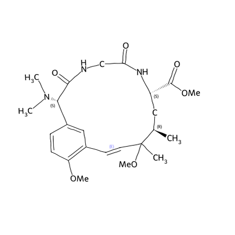 COC(=O)[C@@H]1C[C@@H](C)C(C)(OC)/C=C/c2cc(ccc2OC)[C@H](N(C)C)C(=O)NCC(=O)N1